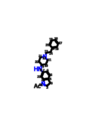 CC(=O)N1CCc2ccc(NC3CCN(CCc4ccccc4)CC3)cc21